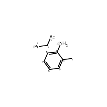 CC(=O)CC(C)C.Cc1ccccc1N